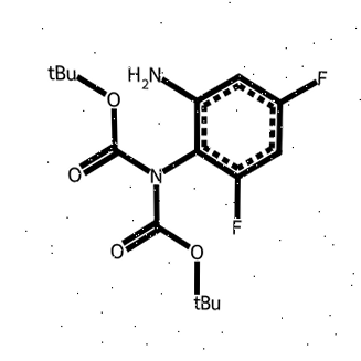 CC(C)(C)OC(=O)N(C(=O)OC(C)(C)C)c1c(N)cc(F)cc1F